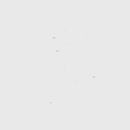 c1ccc(-c2cc([Si](c3ccccc3)(c3ccccc3)c3ccccc3)cc(-c3ccccc3)c2-n2c3ccccc3c3cc(-c4cccc5c4c4ccccc4n5-c4ccccc4)ccc32)cc1